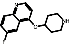 Fc1ccc2nccc(OC3CCNCC3)c2c1